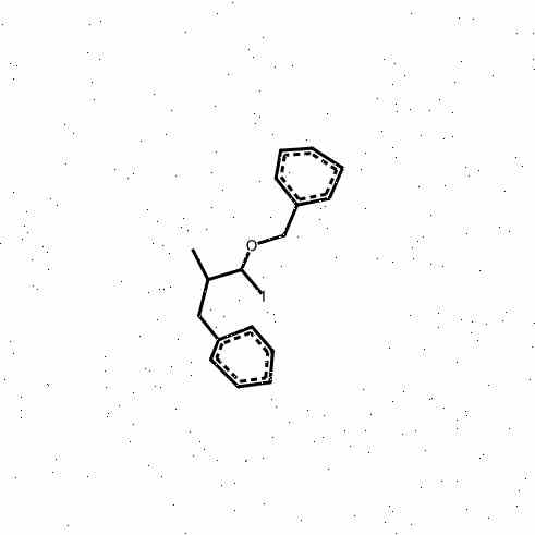 CC(Cc1ccccc1)C(I)OCc1ccccc1